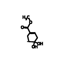 COC(=O)C1=CCC(O)(O)[CH]C1